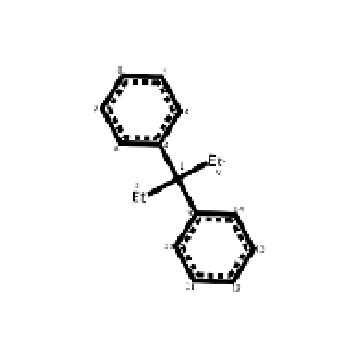 C[CH]C(CC)(c1ccccc1)c1ccccc1